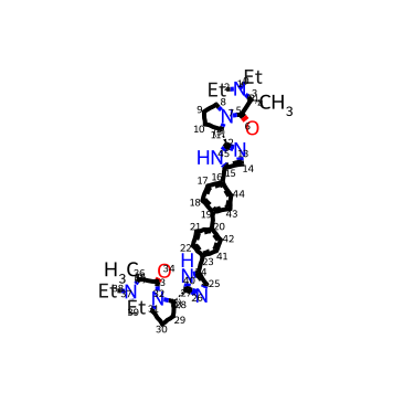 CCN(CC)[C@H](C)C(=O)N1CCC[C@H]1c1ncc(-c2ccc(-c3ccc(-c4cnc([C@@H]5CCCN5C(=O)[C@@H](C)N(CC)CC)[nH]4)cc3)cc2)[nH]1